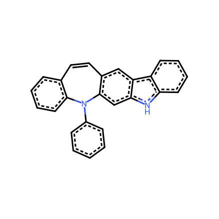 C1=Cc2cc3c(cc2N(c2ccccc2)c2ccccc21)[nH]c1ccccc13